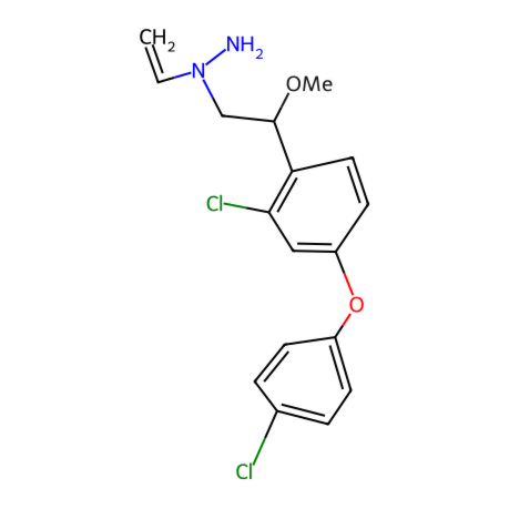 C=CN(N)CC(OC)c1ccc(Oc2ccc(Cl)cc2)cc1Cl